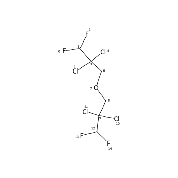 FC(F)C(Cl)(Cl)COCC(Cl)(Cl)C(F)F